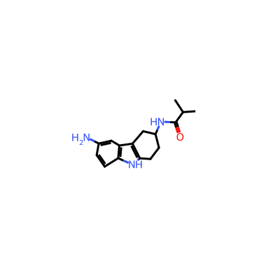 CC(C)C(=O)NC1CCc2[nH]c3ccc(N)cc3c2C1